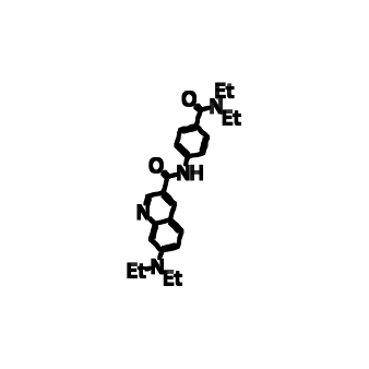 CCN(CC)C(=O)c1ccc(NC(=O)c2cnc3cc(N(CC)CC)ccc3c2)cc1